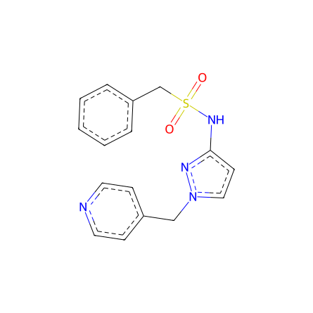 O=S(=O)(Cc1ccccc1)Nc1ccn(Cc2ccncc2)n1